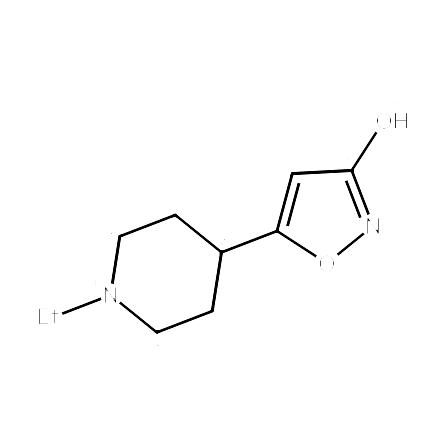 CCN1CCC(c2cc(O)no2)CC1